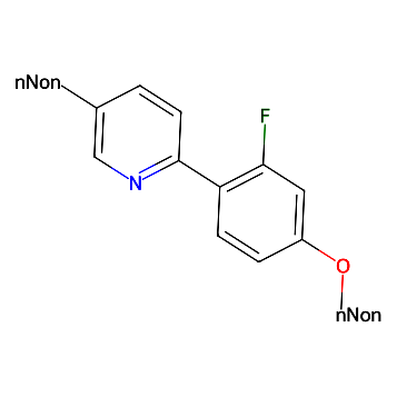 CCCCCCCCCOc1ccc(-c2ccc(CCCCCCCCC)cn2)c(F)c1